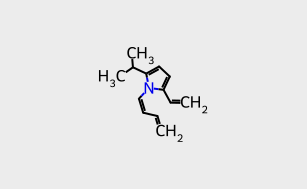 C=C/C=C\n1c(C=C)ccc1C(C)C